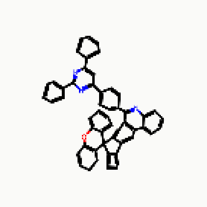 C1=CC2=C(CC1)C1(c3ccccc3O2)c2ccccc2-c2cc3c(cc21)c(-c1ccc(-c2cc(-c4ccccc4)nc(-c4ccccc4)n2)cc1)nc1ccccc13